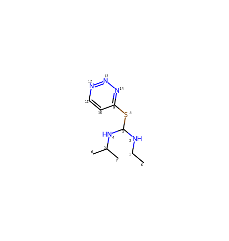 CCNC(NC(C)C)Sc1ccnnn1